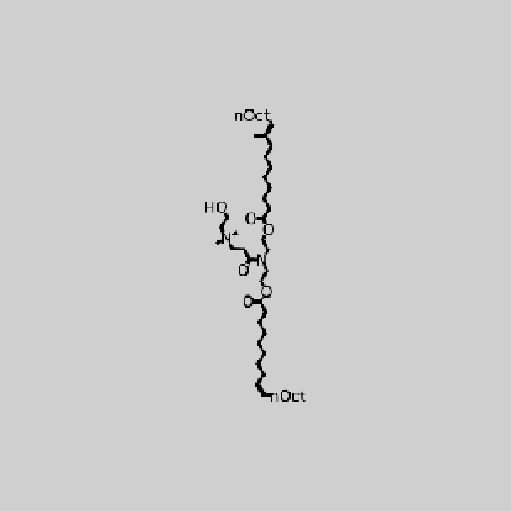 CCCCCCCC/C=C\CCCCCCCC(=O)OCCN(CCOC(=O)CCCCCCC/C(C)=C/CCCCCCCC)C(=O)CC[N+](C)(C)CCO